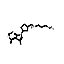 Cc1cn(C2CCC(CNCCCN)C2)c2ncnc(C)c12